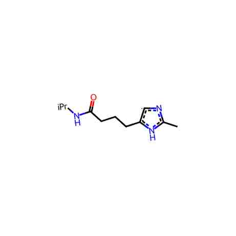 Cc1n[c]c(CCCC(=O)NC(C)C)[nH]1